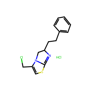 Cl.ClCC1=CSC2=NC(CCc3ccccc3)CN12